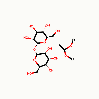 CCOC(C)OCC.OC[C@H]1O[C@H](O[C@H]2O[C@H](CO)[C@@H](O)[C@H](O)[C@H]2O)[C@H](O)[C@@H](O)[C@@H]1O